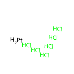 Cl.Cl.Cl.Cl.Cl.Cl.[PtH2]